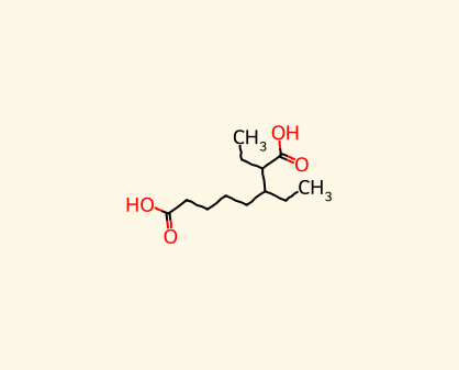 CCC(CCCCC(=O)O)C(CC)C(=O)O